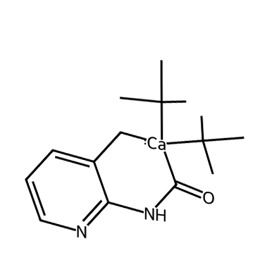 C[C](C)(C)[Ca]1([C](C)(C)C)[CH2]c2cccnc2N[C]1=O